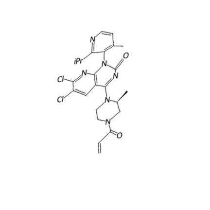 C=CC(=O)N1CCN(c2nc(=O)n(-c3c(C)ccnc3C(C)C)c3nc(Cl)c(Cl)cc23)[C@@H](C)C1